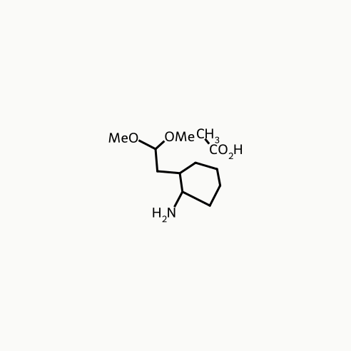 CC(=O)O.COC(CC1CCCCC1N)OC